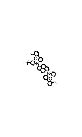 CCc1cccc2c1oc1c(N(c3ccccc3)c3ccc4ccc5c(N(c6ccc(C(C)(C)C)cc6)c6cccc7c6oc6c(CC)cccc67)ccc6ccc3c4c65)cccc12